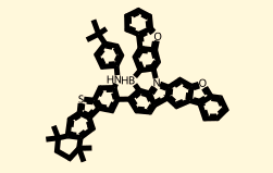 CC(C)(C)c1ccc(Nc2cc3sc4cc5c(cc4c3cc2-c2ccc3c4cc6c(cc4n4c3c2Bc2cc3c(cc2-4)oc2ccccc23)oc2ccccc26)C(C)(C)CCC5(C)C)cc1